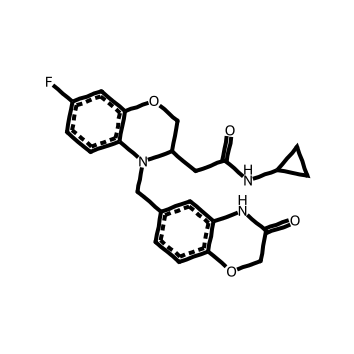 O=C1COc2ccc(CN3c4ccc(F)cc4OCC3CC(=O)NC3CC3)cc2N1